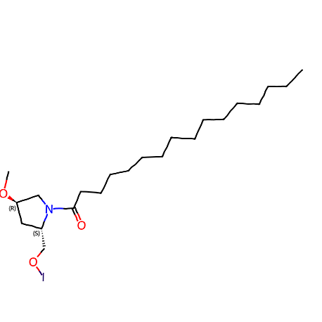 CCCCCCCCCCCCCCCC(=O)N1C[C@H](OC)C[C@H]1COI